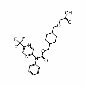 O=C(O)COCC1CCC(COC(=O)N(c2ccccc2)c2cnc(C(F)(F)F)cn2)CC1